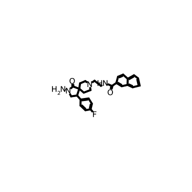 NN1CC(c2ccc(F)cc2)C2(CCN(CCNC(=O)c3ccc4ccccc4c3)CC2)C1=O